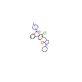 CN1CCN(C(=O)c2ccccc2-c2ccc(CC3CCN(C4CCCCC4)C3=O)c(Cl)c2)CC1